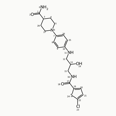 NC(=O)C1CCN(c2ccc(NCC(O)CNC(=O)c3ccc(Cl)s3)cc2)CC1